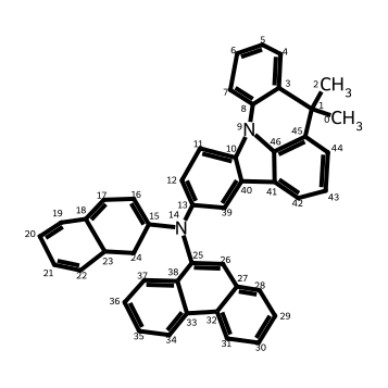 CC1(C)c2ccccc2-n2c3ccc(N(C4=CC=C5C=CC=CC5C4)c4cc5ccccc5c5ccccc45)cc3c3cccc1c32